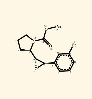 CCc1cccc([C@H]2O[C@@H]2[C@H]2CCCN2C(=O)OC(C)(C)C)c1